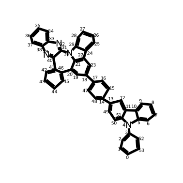 c1ccc(-n2c3ccccc3c3cc(-c4ccc(-c5cc6c7c(c5)c5ccccc5n7-c5nc7ccccc7nc5-c5ccccc5-6)cc4)ccc32)cc1